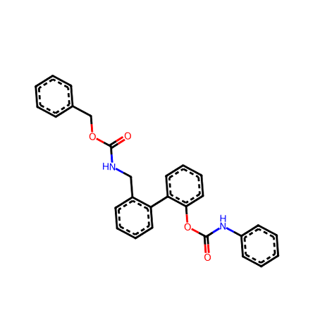 O=C(NCc1ccccc1-c1ccccc1OC(=O)Nc1ccccc1)OCc1ccccc1